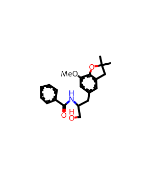 COc1cc(CC(CO)NC(=O)c2ccccc2)cc2c1OC(C)(C)C2